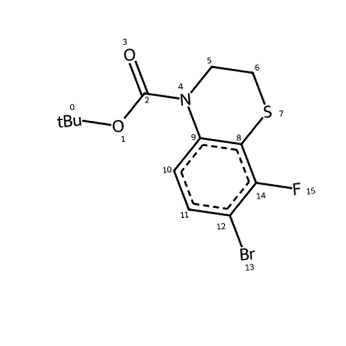 CC(C)(C)OC(=O)N1CCSc2c1ccc(Br)c2F